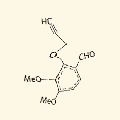 C#CCOc1c(C=O)ccc(OC)c1OC